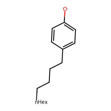 CCCCCCCCCCc1ccc([O])cc1